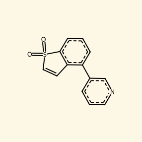 O=S1(=O)C=Cc2c(-c3cccnc3)cccc21